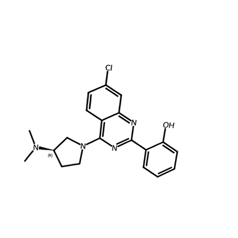 CN(C)[C@@H]1CCN(c2nc(-c3ccccc3O)nc3cc(Cl)ccc23)C1